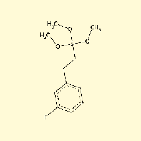 CO[Si](CCc1cccc(F)c1)(OC)OC